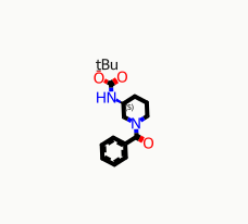 CC(C)(C)OC(=O)N[C@H]1CCCN(C(=O)c2ccccc2)C1